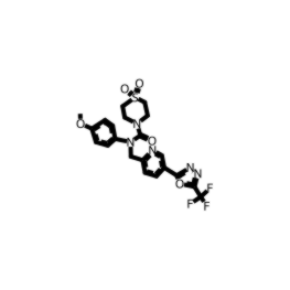 COc1ccc(N(Cc2ccc(-c3nnc(C(F)(F)F)o3)cn2)C(=O)N2CCS(=O)(=O)CC2)cc1